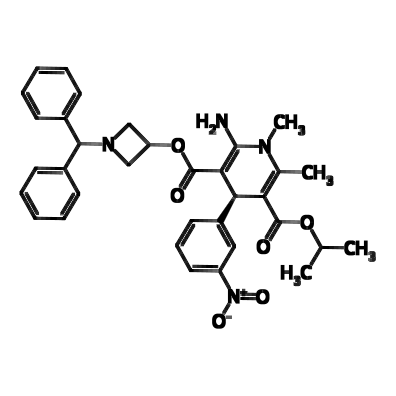 CC1=C(C(=O)OC(C)C)[C@@H](c2cccc([N+](=O)[O-])c2)C(C(=O)OC2CN(C(c3ccccc3)c3ccccc3)C2)=C(N)N1C